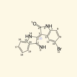 N=C1/C(=C2/C(=O)Nc3ccc(Br)cc32)Nc2ccccc21